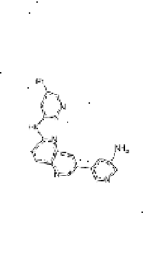 CC(C)c1cnnc(Nc2ccc3ncc(-c4cncc(N)c4)cc3n2)c1